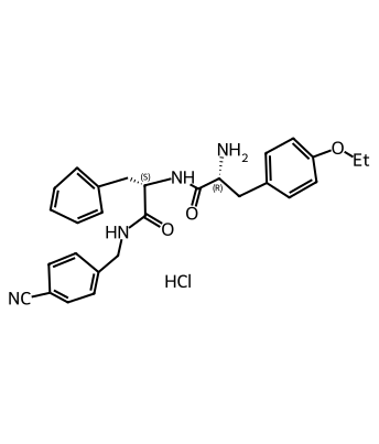 CCOc1ccc(C[C@@H](N)C(=O)N[C@@H](Cc2ccccc2)C(=O)NCc2ccc(C#N)cc2)cc1.Cl